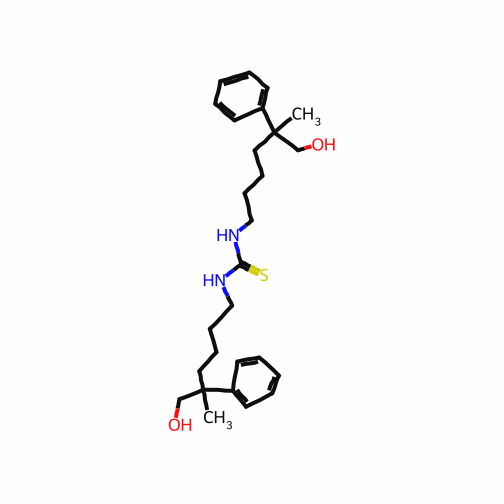 CC(CO)(CCCCNC(=S)NCCCCC(C)(CO)c1ccccc1)c1ccccc1